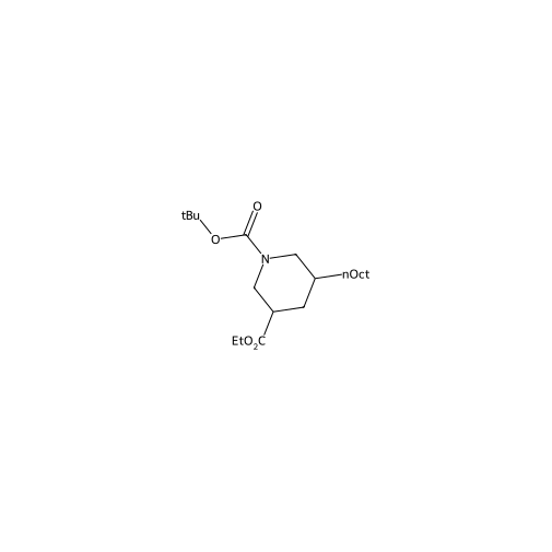 CCCCCCCCC1CC(C(=O)OCC)CN(C(=O)OC(C)(C)C)C1